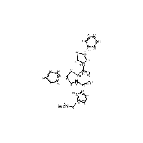 CNCc1ccc(C(=O)N2C[C@@H](c3ccccc3)C[C@H]2C(=O)N2CC[C@H](c3ccccc3)C2)s1